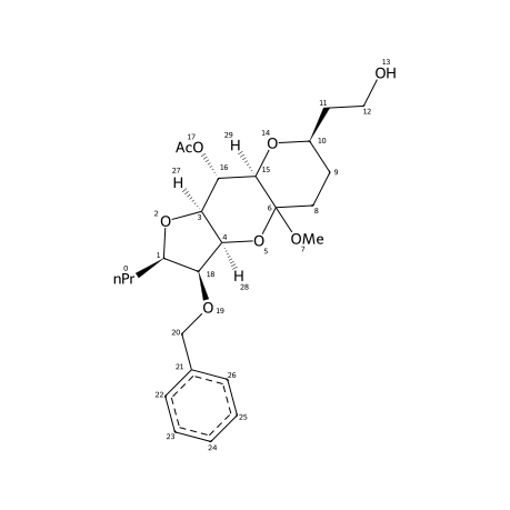 [CH2][CH]C[C@H]1O[C@@H]2[C@@H](OC3(OC)CC[C@H](CCO)O[C@@H]3[C@H]2OC(C)=O)[C@H]1OCc1ccccc1